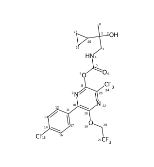 CC(O)(CNC(=O)Oc1nc(-c2ccc(Cl)cc2)c(OCC(F)(F)F)nc1C(F)(F)F)C1CC1